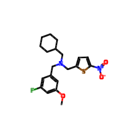 COc1cc(F)cc(CN(Cc2ccc([N+](=O)[O-])s2)CC2CCCCC2)c1